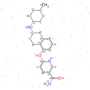 CC1CCC(NC2CCc3c(cccc3Oc3ccc(C(N)=O)cn3)C2)CC1